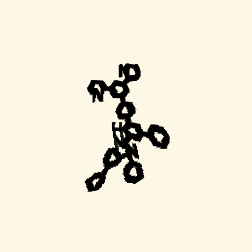 c1ccc(C2=NC(c3cc(-c4ccccc4)cc(-c4ccc(-c5cc(-c6ccccn6)cc(-c6ccccn6)c5)cc4)c3)Nc3ccc(-c4ccccc4)cc32)cc1